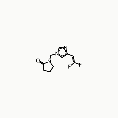 O=C1CCCN1Cn1cnc(C=C(F)F)c1